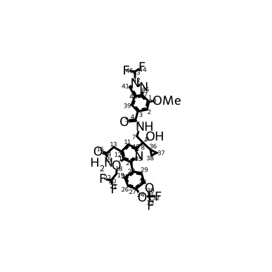 COc1cc(C(=O)NC[C@](O)(c2cc(CC(N)=O)c(OCC(F)F)c(-c3ccc4c(c3)OC(F)(F)O4)n2)C2CC2)cc2cn(C(F)F)nc12